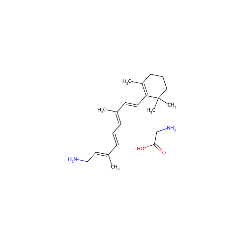 CC(C=CC1=C(C)CCCC1(C)C)=CC=CC(C)=CCN.NCC(=O)O